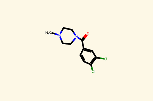 CN1CCN(C(=O)c2ccc(Cl)c(Cl)c2)CC1